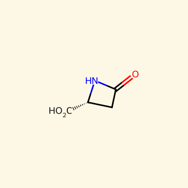 O=C1C[C@H](C(=O)O)N1